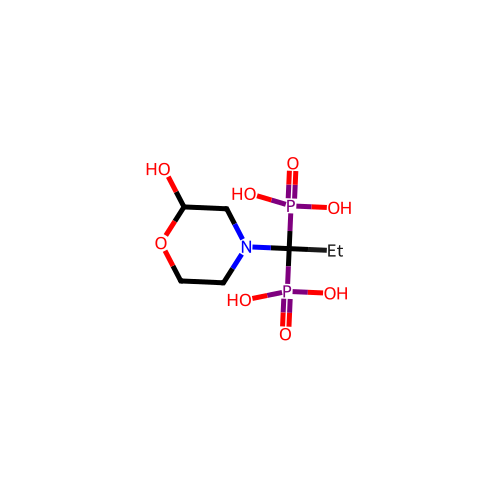 CCC(N1CCOC(O)C1)(P(=O)(O)O)P(=O)(O)O